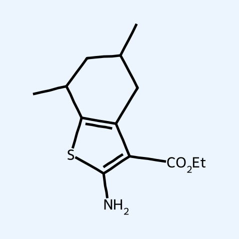 CCOC(=O)c1c(N)sc2c1CC(C)CC2C